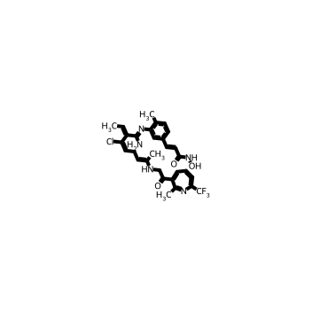 C/C=C(C(/N)=N/c1cc(/C=C/C(=O)NO)ccc1C)\C(Cl)=C/C/C=C(\C)NCC(=O)C1=CC=C=C(C(F)(F)F)N=C1C